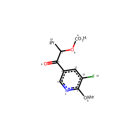 COc1ncc(C(=O)C(OC(=O)O)C(C)C)cc1F